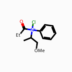 CCC(=O)[N+](Cl)(c1ccccc1)C(C)COC